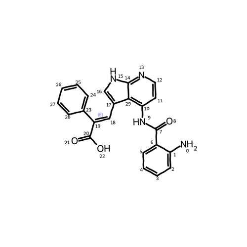 Nc1ccccc1C(=O)Nc1ccnc2[nH]cc(/C=C(/C(=O)O)c3ccccc3)c12